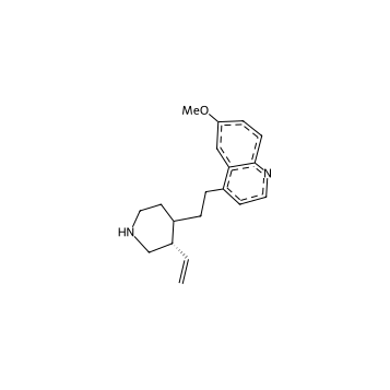 C=C[C@@H]1CNCCC1CCc1ccnc2ccc(OC)cc12